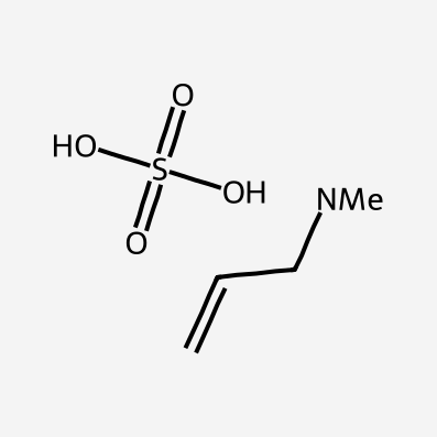 C=CCNC.O=S(=O)(O)O